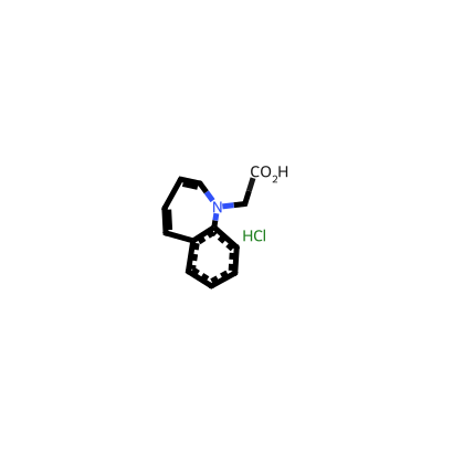 Cl.O=C(O)CN1C=CC=Cc2ccccc21